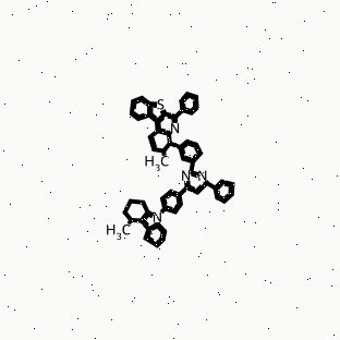 CC1CCCc2c1c1ccccc1n2-c1ccc(-c2cc(-c3ccccc3)nc(-c3cccc(C4c5nc(-c6ccccc6)c6sc7ccccc7c6c5C=CC4C)c3)n2)cc1